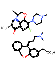 CC1COc2c(N3CCN(C)CC3)c(F)cc3c(=O)c(C(=O)O)cn1c23.CN(C)CC/C=C1/c2ccccc2COc2ccc(CC(=O)O)cc21